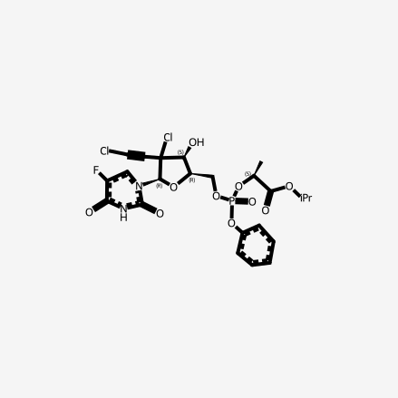 CC(C)OC(=O)[C@H](C)OP(=O)(OC[C@H]1O[C@@H](n2cc(F)c(=O)[nH]c2=O)C(Cl)(C#CCl)[C@H]1O)Oc1ccccc1